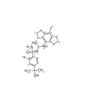 CC(C)(O)c1ccc(S(N)(=O)=NC(O)Nc2c3c(c(F)c4c2CCC4)CCC3)c(F)c1